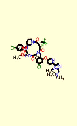 COC[C@@H]1NC(=O)[C@H](C)N(Cc2ccc(Cl)cc2Oc2ccc(-c3cnc(CN(C)C)n3C)nc2)C(=O)C[C@@H](CC(F)(F)F)C(=O)N2CCC[C@@](Cc3ccc(Cl)cc3)(C2)N(C)C1=O